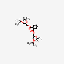 CC(C)OCC(COC(=O)C1CCCCC1C(=O)OCC(COC(C)C)OC(C)C)OC(C)C